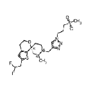 C[C@H]1C[C@@]2(CCN1Cc1cn(CCCS(C)(=O)=O)nn1)OCCc1cc(CC(F)F)sc12